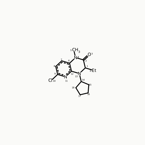 CCC1C(=O)N(C)c2ccc(Cl)nc2N1C1CCCC1